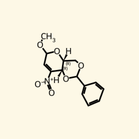 COC1C=C([N+](=O)[O-])[C@H]2OC(c3ccccc3)OC[C@H]2O1